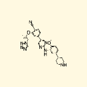 COc1ccc(C2CCNCC2)cc1Nc1ncc(-c2ccc(C#N)c(O[C@@H](C)Cn3cnnn3)c2)cn1